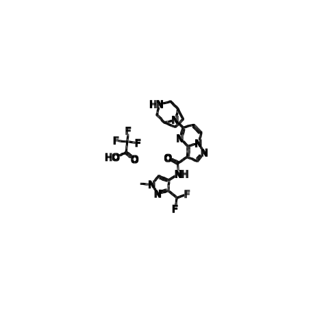 Cn1cc(NC(=O)c2cnn3ccc(N4C5CCC4CNC5)nc23)c(C(F)F)n1.O=C(O)C(F)(F)F